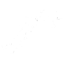 O=C1NCCC1CC(=O)N1CCc2ccc(Oc3ccc(C(F)(F)F)c(F)c3)cc2C1